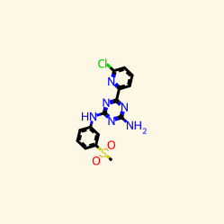 CS(=O)(=O)c1cccc(Nc2nc(N)nc(-c3cccc(Cl)n3)n2)c1